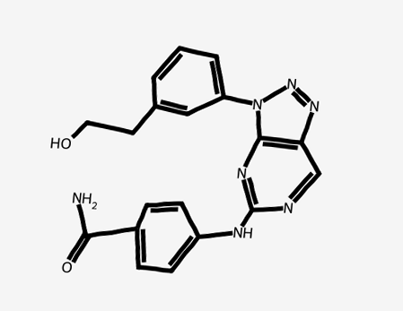 NC(=O)c1ccc(Nc2ncc3nnn(-c4cccc(CCO)c4)c3n2)cc1